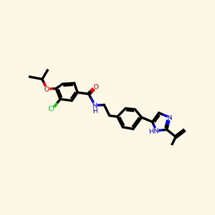 C=C(C)c1ncc(-c2ccc(CCNC(=O)c3ccc(OC(C)C)c(Cl)c3)cc2)[nH]1